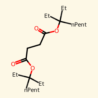 CCCCCC(CC)(CC)OC(=O)CCC(=O)OC(CC)(CC)CCCCC